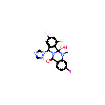 CCC(N1C(=O)c2ccc(I)cc2N(C)C1(O)c1ccc(F)cc1F)n1cncn1